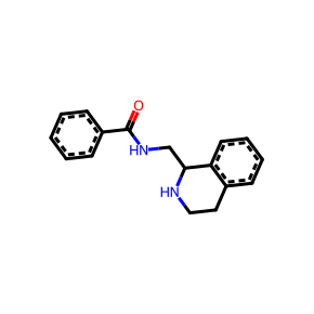 O=C(NCC1NCCc2ccccc21)c1ccccc1